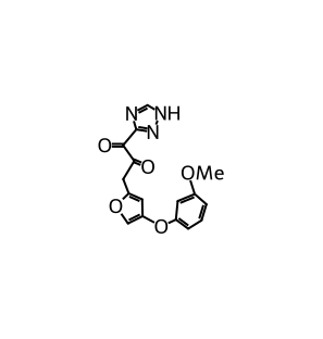 COc1cccc(Oc2coc(CC(=O)C(=O)c3nc[nH]n3)c2)c1